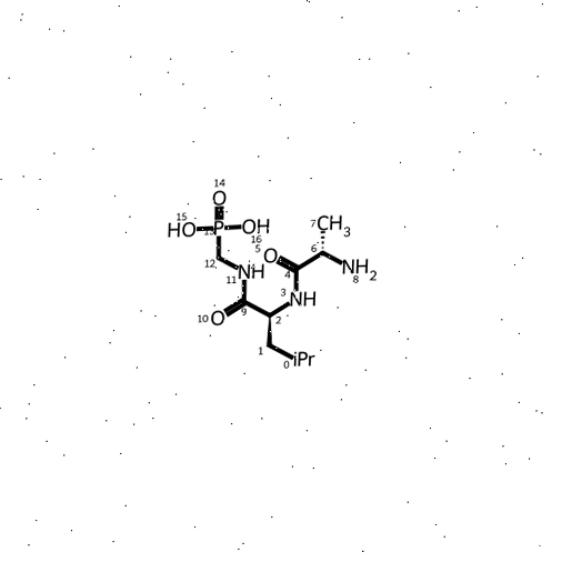 CC(C)C[C@H](NC(=O)[C@H](C)N)C(=O)NCP(=O)(O)O